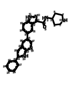 O=C(NC1CCNCC1)c1n[nH]c2ccc(-c3cnc4[nH]c(-c5ccccc5)cc4c3)cc12